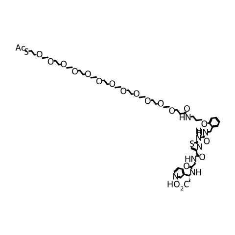 CC(=O)SCCOCCOCCOCCOCCOCCOCCOCCOCCOCCOCCOCCOCCC(=O)NCCCOc1ccccc1CNC(=O)Nc1nc(C(=O)NCC(=O)N[C@H](CC(=O)O)c2cccnc2)cs1